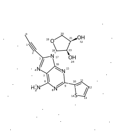 CC#Cc1nc2c(N)nc(-c3cccs3)nc2n1[C@@H]1OC[C@@H](O)[C@H]1O